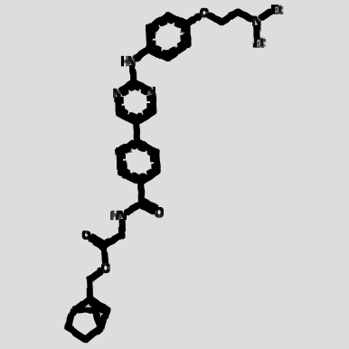 CCN(CC)CCOc1ccc(Nc2ncc(-c3ccc(C(=O)NCC(=O)OCC4=CC5CCC4C5)cc3)cn2)cc1